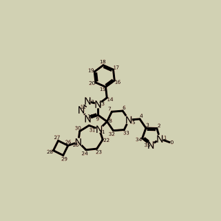 Cn1cc(CN2CCC(c3nnnn3Cc3ccccc3)(N3CCCN(C4CCC4)CC3)CC2)cn1